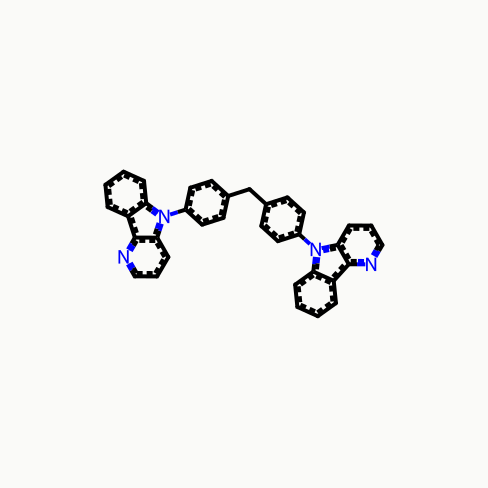 c1ccc2c(c1)c1ncccc1n2-c1ccc(Cc2ccc(-n3c4ccccc4c4ncccc43)cc2)cc1